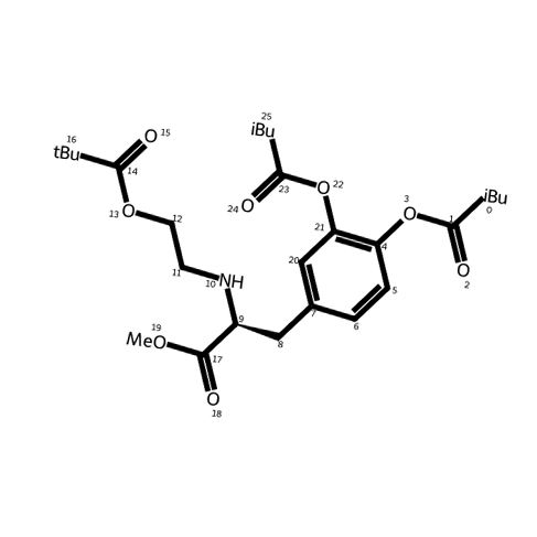 CCC(C)C(=O)Oc1ccc(C[C@H](NCCOC(=O)C(C)(C)C)C(=O)OC)cc1OC(=O)C(C)CC